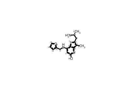 Cc1c(C[C@H](C)N)sc2c(NCc3ccco3)cc(Cl)nc12